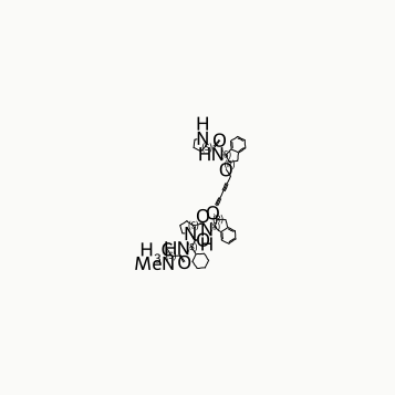 CN[C@@H](C)C(=O)N[C@H](C(=O)N1CCC[C@H]1C(=O)N[C@H]1c2ccccc2C[C@H]1OC#CC#CCO[C@@H]1Cc2ccccc2[C@@H]1NC(=O)[C@@H]1CCCN1)C1CCCCC1